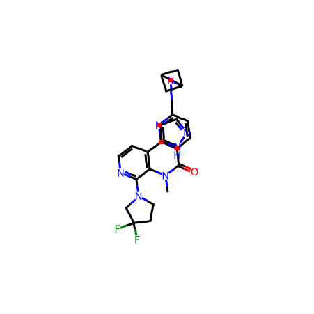 CN(C(=O)c1ccc(N2CC3CC2C3)nc1)c1c(-c2ccn[nH]2)ccnc1N1CCC(F)(F)C1